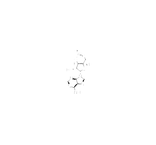 Nc1ncnc2c1ncn2[C@@H]1O[C@@H]2COS(=O)O[C@@H]2[C@H]1O